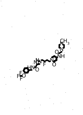 CN1CCN(CC(=O)Nc2ccn(CCC(F)Cn3cc(C(=O)NCc4cccc(OC(F)(F)F)c4)nn3)c(=O)c2)CC1